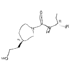 CC(C)[C@@H](C)NC(=O)N1CC[C@H](CCO)C1